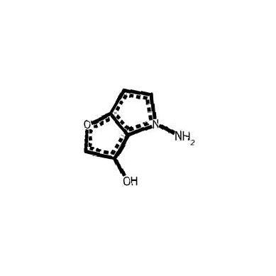 Nn1ccc2occ(O)c21